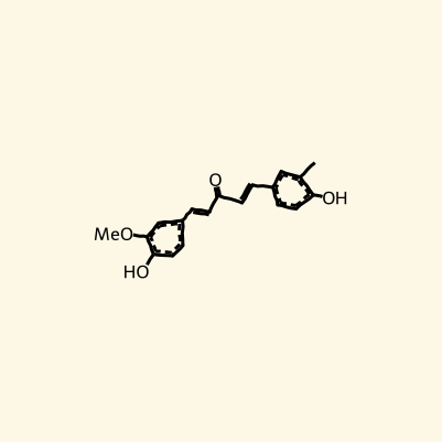 COc1cc(/C=C/C(=O)/C=C/c2ccc(O)c(C)c2)ccc1O